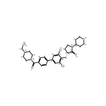 O=C(c1ccc(-c2cc(Cl)c(C[C@@H]3CCN(C4CCOCC4)C3=O)c(Cl)c2)cc1)N1CCN(CC(F)(F)F)CC1